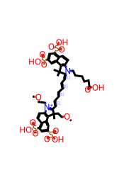 COCC[N+]1=C(/C=C/C=C/C=C/C=C2/N(CCCCCC(=O)O)c3ccc4c(S(=O)(=O)O)cc(S(=O)(=O)O)cc4c3C2(C)C)C(C)(CCOC)c2c1ccc1c(S(=O)(=O)O)cc(S(=O)(=O)O)cc21